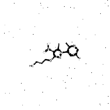 Cc1ncc(F)cc1-n1nc(OCCCO)c([N+](=O)[O-])c1C